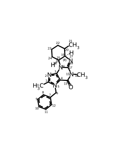 Cc1nc2c(n1Cc1ccccc1)C(=O)N(C)C1=N[C@@H]3C(C)CCC[C@@H]3N12